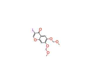 COCOc1cc2occ(I)c(=O)c2cc1OCOC